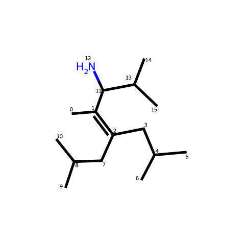 CC(=C(CC(C)C)CC(C)C)C(N)C(C)C